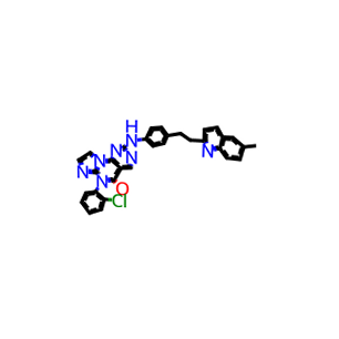 Cc1ccc2nc(CCc3ccc(Nc4ncc5c(=O)n(-c6ccccc6Cl)c6nccn6c5n4)cc3)ccc2c1